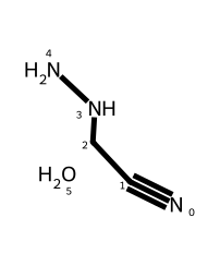 N#CCNN.O